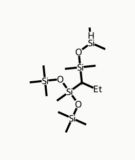 CC[C]([Si](C)(C)O[SiH](C)C)[Si](C)(O[Si](C)(C)C)O[Si](C)(C)C